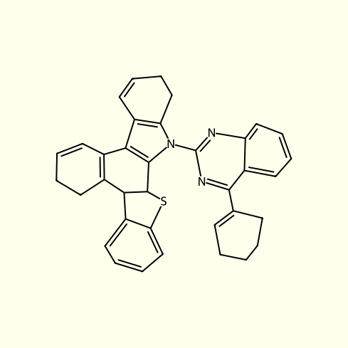 C1=CC2=C(CC1)C1c3ccccc3SC1c1c2c2c(n1-c1nc(C3=CCCCC3)c3ccccc3n1)CCC=C2